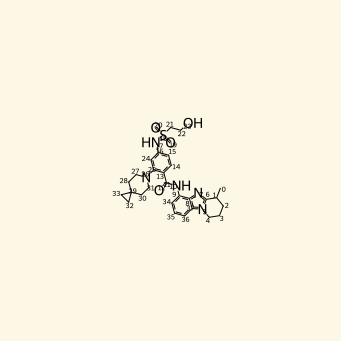 CC1CCCn2c1nc1c(NC(=O)c3ccc(NS(=O)(=O)CCO)cc3N3CCC4(CC3)CC4)cccc12